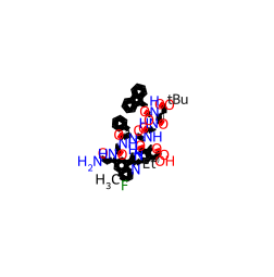 CC[C@@]1(O)C(=O)OCc2c1cc1n(c2=O)Cc2c-1nc1cc(F)c(C)c3c1c2CC(C(CC(N)=O)NC(=O)CNC(=O)[C@H](Cc1ccccc1)NC(=O)CNC(=O)CNC(=O)[C@H](CC(=O)OC(C)(C)C)NC(=O)OCC1c2ccccc2-c2ccccc21)C3